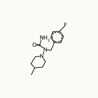 CC1CCN(N(Cc2ccc(F)cc2)C(N)=O)CC1